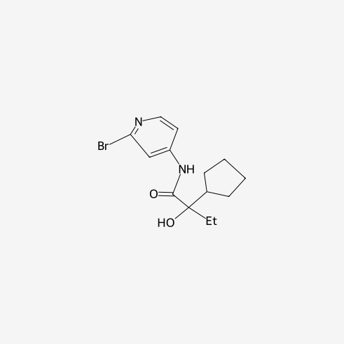 CCC(O)(C(=O)Nc1ccnc(Br)c1)C1CCCC1